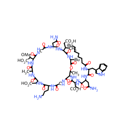 CCC(C)CCCCCCC(=O)NC(Cc1c[nH]c2ccccc12)C(=O)NC(CC(N)=O)C(=O)NC(CC(=O)O)C(=O)NC1C(=O)NCC(=O)NC(CCCN)C(=O)NC(CC(=O)O)C(=O)NC(C)C(=O)NC(C(OC)C(=O)O)C(=O)NCC(=O)NC(CC(N)=O)C(=O)NC(C(C)CC(=O)O)C(=O)NC(C(C)CC)C(=O)OC1C